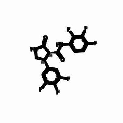 O=C1NC[C@H](c2cc(F)c(F)c(F)c2)[C@H]1C(=O)Nc1ccc(F)c(F)c1F